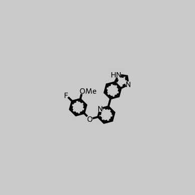 COc1cc(Oc2cccc(-c3ccc4[nH]cnc4c3)n2)ccc1F